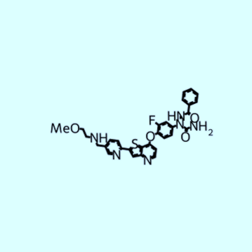 COCCNCc1ccc(-c2cc3nccc(Oc4ccc(N(NC(=O)c5ccccc5)C(N)=O)cc4F)c3s2)nc1